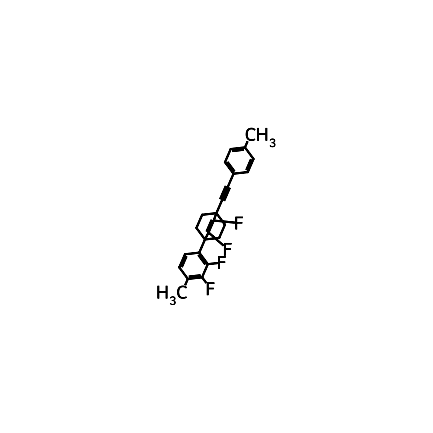 Cc1ccc(C#CC23CCC(c4ccc(C)c(F)c4F)(CC2)C(F)=C3F)cc1